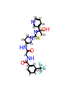 O=C(CNC(=O)c1cccc(C(F)(F)F)c1)N[C@@H]1CCN(C2=NC(O)(c3cccnc3)CS2)C1